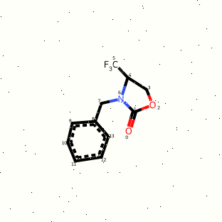 O=C1OCC(C(F)(F)F)N1Cc1ccccc1